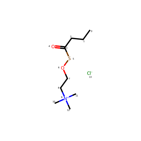 CCCC(=O)SOCC[N+](C)(C)C.[Cl-]